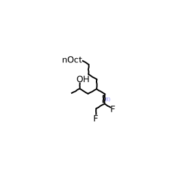 CCCCCCCCCCCC(/C=C(/F)CF)CC(C)O